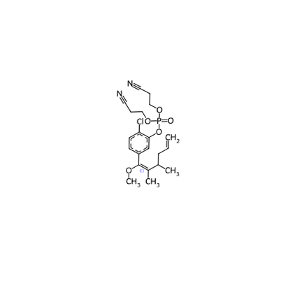 C=CCC(C)/C(C)=C(/OC)c1ccc(Cl)c(OP(=O)(OCCC#N)OCCC#N)c1